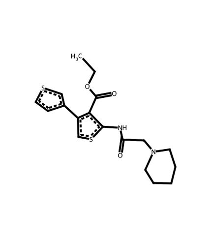 CCOC(=O)c1c(-c2ccsc2)csc1NC(=O)CN1CCCCC1